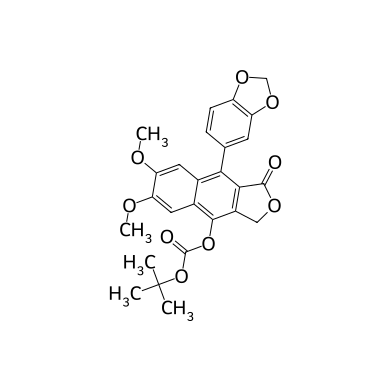 COc1cc2c(OC(=O)OC(C)(C)C)c3c(c(-c4ccc5c(c4)OCO5)c2cc1OC)C(=O)OC3